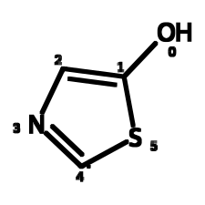 Oc1cn[c]s1